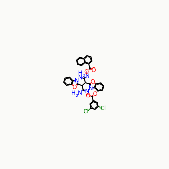 NC(=NOC(=O)c1cc(Cl)cc(Cl)c1)C(c1nc2ccccc2o1)C(C(N)=NOC(=O)c1cccc2ccccc12)c1nc2ccccc2o1